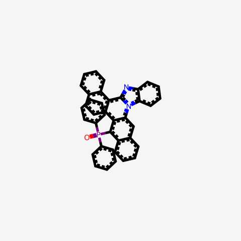 O=P(c1ccccc1)(c1ccccc1)c1c2ccccc2cc2c1c1ccc3ccccc3c1c1nc3ccccc3n21